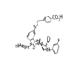 CCCCCCCN1C(=O)C(=NNC(=O)Nc2cccc(F)c2)c2cc(SCCc3ccc(C(=O)O)cc3)ccc21